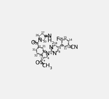 C[S+]([O-])c1cn(-c2ncc(-c3cc(C#N)ccc3F)cn2)c2cc(C(=O)N3CC[C@@H](N)C3)ccc12